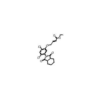 CCOC(=O)/C=C/COc1cc(N2C(=O)C3CCCCC3C2=O)c(Cl)cc1Cl